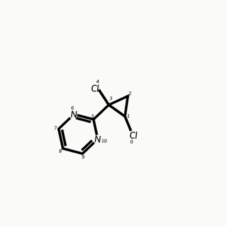 ClC1CC1(Cl)c1ncccn1